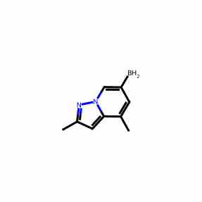 Bc1cc(C)c2cc(C)nn2c1